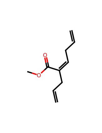 C=CCC=C(CC=C)C(=O)OC